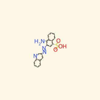 Nc1c(N=Nc2cnc3ccccc3c2)cc(S(=O)(=O)O)c2ccccc12